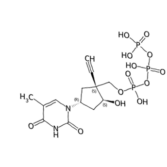 C#C[C@]1(COP(=O)(O)OP(=O)(O)OP(=O)(O)O)C[C@@H](n2cc(C)c(=O)[nH]c2=O)C[C@@H]1O